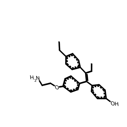 CC/C(=C(\c1ccc(O)cc1)c1ccc(OCCN)cc1)c1ccc(CC)cc1